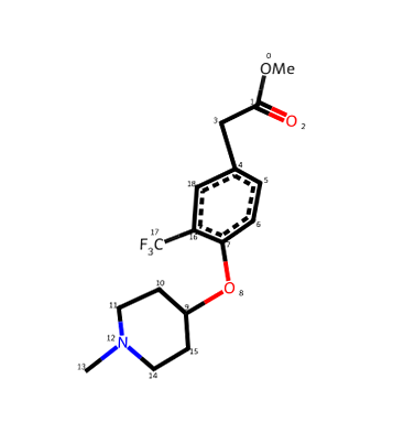 COC(=O)Cc1ccc(OC2CCN(C)CC2)c(C(F)(F)F)c1